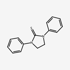 S=C1N(c2ccccc2)CCN1c1ccccc1